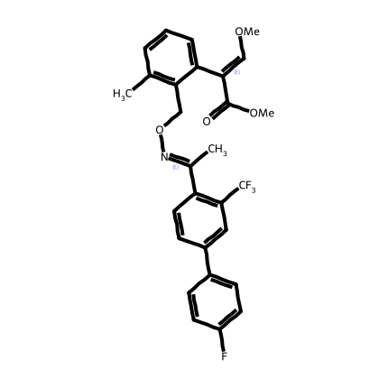 CO/C=C(/C(=O)OC)c1cccc(C)c1CO/N=C(\C)c1ccc(-c2ccc(F)cc2)cc1C(F)(F)F